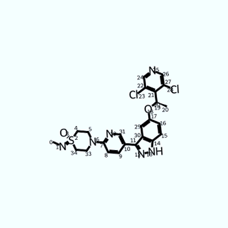 CN=S1(=O)CCN(c2ccc(-c3n[nH]c4ccc(O[C@H](C)c5c(Cl)cncc5Cl)cc34)cn2)CC1